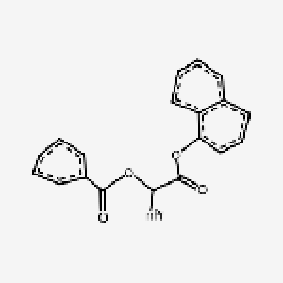 CCCC(OC(=O)c1ccccc1)C(=O)Oc1cccc2ccccc12